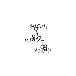 COC(=O)c1sc(C2CCN(C(=O)OC(C)(C)C)C2)nc1C#Cc1cc(OC)cc(OC)c1